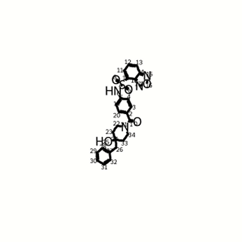 O=C(c1ccc(NS(=O)(=O)c2cccc3nonc23)cc1)N1CCC(O)(Cc2ccccc2)CC1